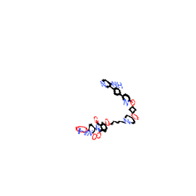 O=C1CCC(N2C(=O)c3ccc(OCCCCCN4CCC(OC5CC(Oc6ccc(-c7ccc8c(c7)[nH]c7ccncc78)cn6)C5)CC4)cc3C2=O)C(=O)N1